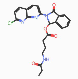 CCC(=O)NCCCC(=O)OC1c2ccccc2C(=O)N1c1ccc2ccc(Cl)nc2n1